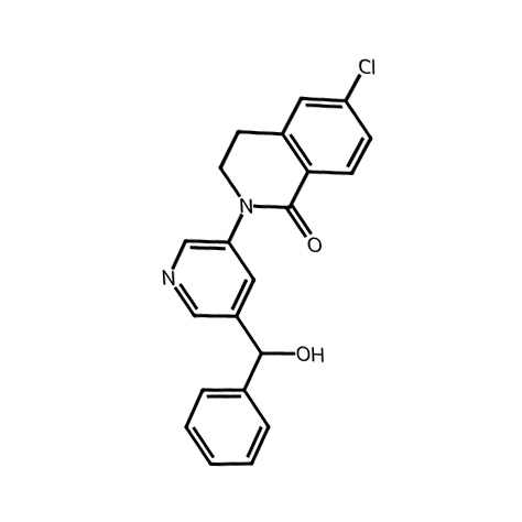 O=C1c2ccc(Cl)cc2CCN1c1cncc(C(O)c2ccccc2)c1